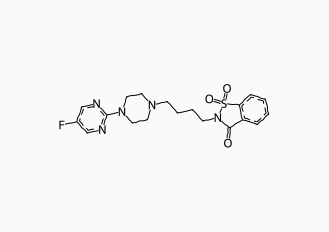 O=C1c2ccccc2S(=O)(=O)N1CCCCN1CCN(c2ncc(F)cn2)CC1